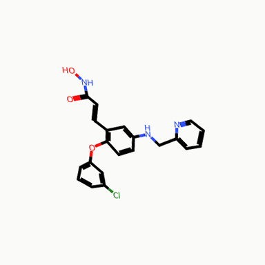 O=C(C=Cc1cc(NCc2ccccn2)ccc1Oc1cccc(Cl)c1)NO